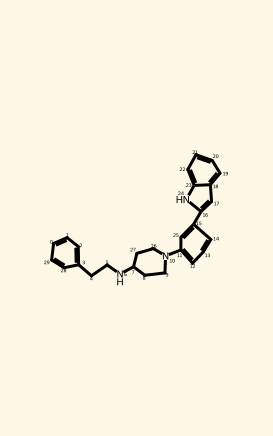 c1ccc(CCNC2CCN(c3cccc(-c4cc5ccccc5[nH]4)c3)CC2)cc1